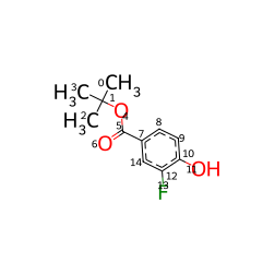 CC(C)(C)OC(=O)c1ccc(O)c(F)c1